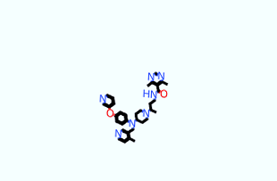 Cc1ccncc1CN(c1ccc(Oc2cccnc2)cc1)C1CCN(C(C)CCNC(=O)c2c(C)ncnc2C)CC1